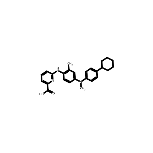 Cc1cc(N(C)c2ccc(C3CCCCC3)cc2)ccc1Nc1cccc(C(=O)O)n1